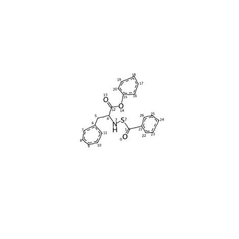 O=C(SNC(Cc1ccccc1)C(=O)Oc1ccccc1)c1ccccc1